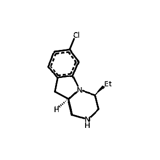 CC[C@H]1CNC[C@H]2Cc3ccc(Cl)cc3N12